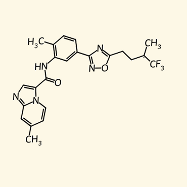 C[C](CCc1nc(-c2ccc(C)c(NC(=O)c3cnc4cc(C)ccn34)c2)no1)C(F)(F)F